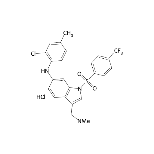 CNCc1cn(S(=O)(=O)c2ccc(C(F)(F)F)cc2)c2cc(Nc3ccc(C)cc3Cl)ccc12.Cl